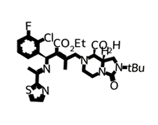 CCOC(=O)/C(=C(/C)CN1CCN2C(=O)N(C(C)(C)C)C[C@H]2[C@@H]1C(=O)O)[C@@H](/N=C(\C)c1nccs1)c1cccc(F)c1Cl